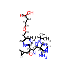 CC(C)(C)n1nc(-c2noc(C3CC3)c2-c2ncc(CCOCCCC(=O)O)cn2)c2c(N)ncnc21